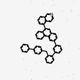 c1ccc(-c2ccc(Cc3ccccc3-c3cccc(-c4ccc5cc(-c6cccc7cnccc67)c6ccccc6c5c4)c3)cc2)cc1